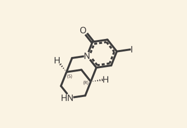 O=c1cc(I)cc2n1C[C@@H]1CNC[C@H]2C1